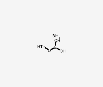 OB(O)O[TeH].[BiH3]